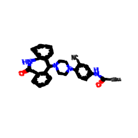 CC(C)(C)C(=O)Nc1ccc(N2CCN(C3c4ccccc4NC(=O)c4ccccc43)CC2)c(C#N)c1